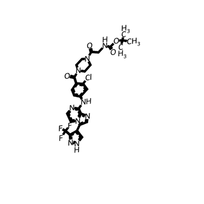 CC(C)(C)OC(=O)NCC(=O)N1CCN(C(=O)c2ccc(Nc3nccn4c(-c5c[nH]nc5C(F)(F)F)cnc34)cc2Cl)CC1